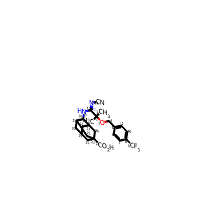 CC(C)(OCc1ccc(C(F)(F)F)cc1)/C(=N\C#N)NC1C2CC3CC1CC(C(=O)O)(C3)C2